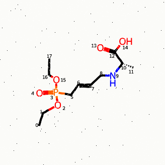 CCOP(=O)(C/C=C/CN[C@@H](C)C(=O)O)OCC